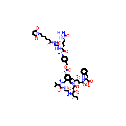 CC[C@H](C)C([C@@H](CC(=O)N1CCC[C@H]1[C@H](OC)[C@@H](C)C(=O)N[C@@H](Cc1ccccc1)C(=O)OC)OC)N(C)C(=O)CNC(=O)C(C(C)C)N(C)Cc1cccc(NC(=O)OCc2ccc(NC(=O)[C@H](CCCNC(N)=O)NC(=O)CNC(=O)CCCCCN3C(=O)C=CC3=O)cc2)c1